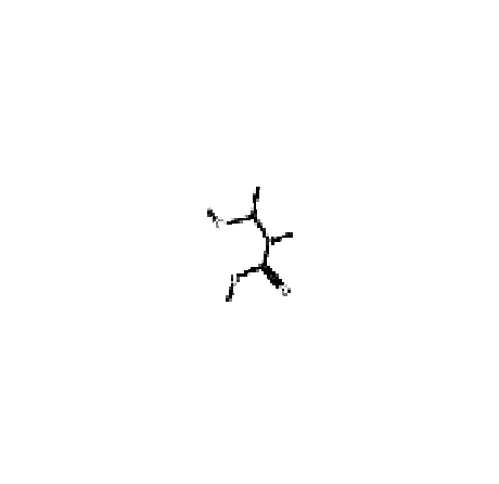 COC(=O)N(C)C(C)OC